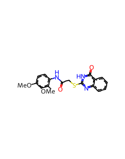 COc1ccc(NC(=O)CSc2nc3ccccc3c(=O)[nH]2)c(OC)c1